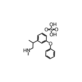 CNCC(C)c1cccc(Oc2ccccc2)c1.O=S(=O)(O)O